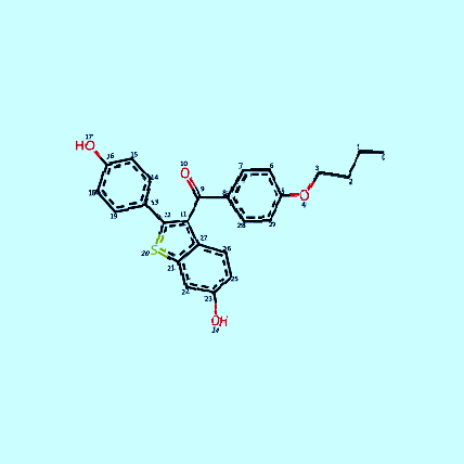 CCCCOc1ccc(C(=O)c2c(-c3ccc(O)cc3)sc3cc(O)ccc23)cc1